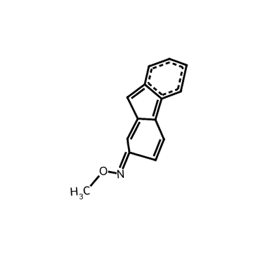 CON=C1C=CC2=c3ccccc3=CC2=C1